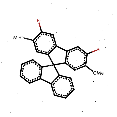 COc1cc2c(cc1Br)-c1cc(Br)c(OC)cc1C21c2ccccc2-c2ccccc21